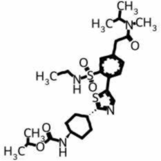 CCNS(=O)(=O)c1cc(CC(=O)N(C)C(C)C)ccc1-c1cnc([C@H]2CC[C@H](NC(=O)OC(C)C)CC2)s1